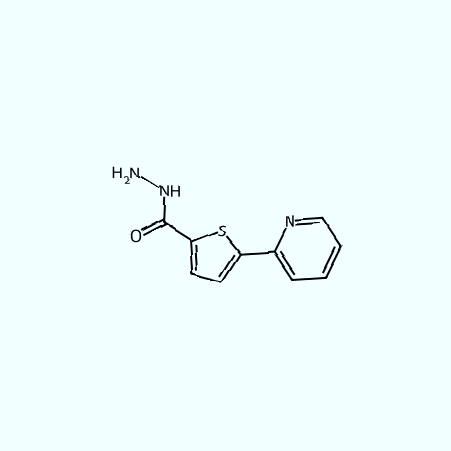 NNC(=O)c1ccc(-c2ccccn2)s1